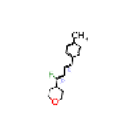 Cc1ccc(/C=C/C=C(\F)C2CCOCC2)cc1